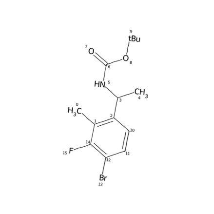 Cc1c(C(C)NC(=O)OC(C)(C)C)ccc(Br)c1F